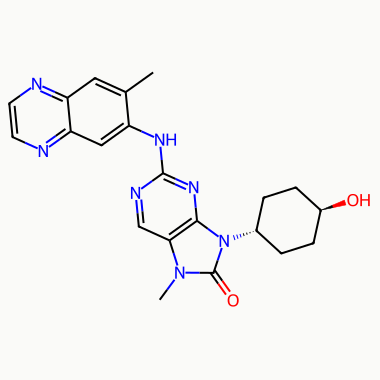 Cc1cc2nccnc2cc1Nc1ncc2c(n1)n([C@H]1CC[C@H](O)CC1)c(=O)n2C